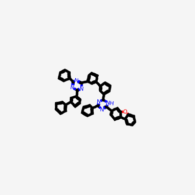 c1ccc(C2=NC(c3cccc(-c4cccc(-c5nc(-c6ccccc6)nc(-c6cccc(-c7ccccc7)c6)n5)c4)c3)NC(c3ccc4c(c3)oc3ccccc34)=N2)cc1